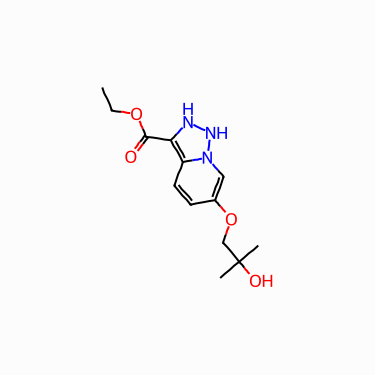 CCOC(=O)C1=C2C=CC(OCC(C)(C)O)=CN2NN1